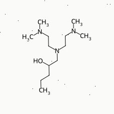 CCCC(O)CN(CCN(C)C)CCN(C)C